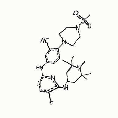 CN1C(C)(C)CC(Nc2nc(Nc3ccc(N4CCN(S(C)(=O)=O)CC4)c(C#N)c3)ncc2F)CC1(C)C